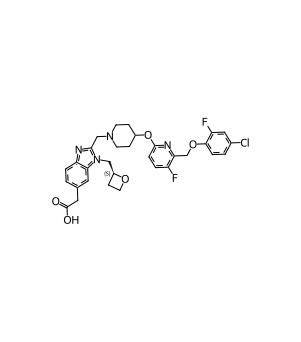 O=C(O)Cc1ccc2nc(CN3CCC(Oc4ccc(F)c(COc5ccc(Cl)cc5F)n4)CC3)n(C[C@@H]3CCO3)c2c1